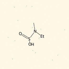 CCN(C)S(=O)O